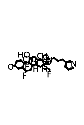 C[C@]12C=CC(=O)C=C1[C@@H](F)C[C@H]1[C@@H]3C[C@H]4CN(CCCc5cccnc5)O[C@@]4(C(=O)SCF)[C@@]3(C)C[C@H](O)[C@@]12F